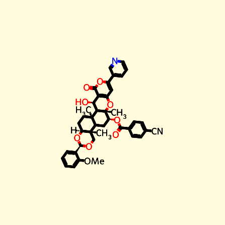 COc1ccccc1[C@@H]1OC[C@@]2(C)C3C[C@H](OC(=O)c4ccc(C#N)cc4)[C@@]4(C)Oc5cc(-c6cccnc6)oc(=O)c5[C@H](O)C4[C@@]3(C)CC[C@@H]2O1